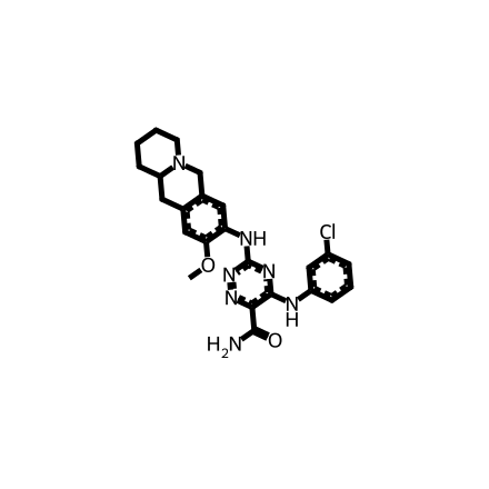 COc1cc2c(cc1Nc1nnc(C(N)=O)c(Nc3cccc(Cl)c3)n1)CN1CCCCC1C2